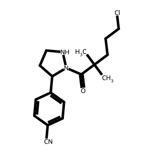 CC(C)(CCCCl)C(=O)N1NCCC1c1ccc(C#N)cc1